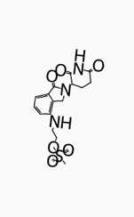 CS(=O)(=O)OCCNc1cccc2c1CN(C1CCC(=O)NC1=O)C2=O